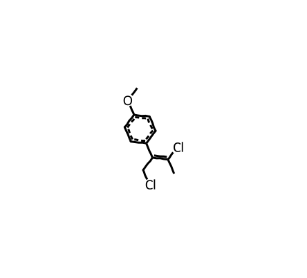 COc1ccc(C(CCl)=C(C)Cl)cc1